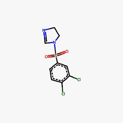 O=S(=O)(c1ccc(Cl)c(Cl)c1)N1C=NCC1